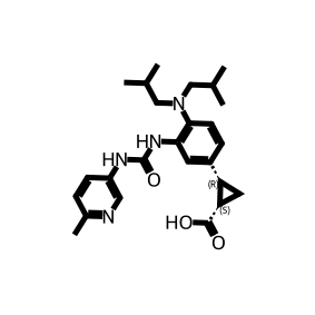 Cc1ccc(NC(=O)Nc2cc([C@@H]3C[C@@H]3C(=O)O)ccc2N(CC(C)C)CC(C)C)cn1